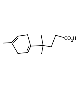 CC1=CCC(C(C)(C)CCC(=O)O)=CC1